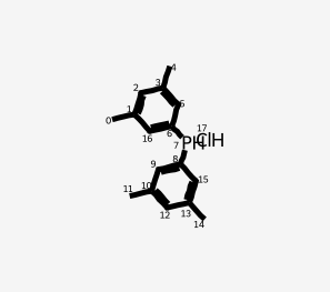 Cc1cc(C)cc(Pc2cc(C)cc(C)c2)c1.Cl